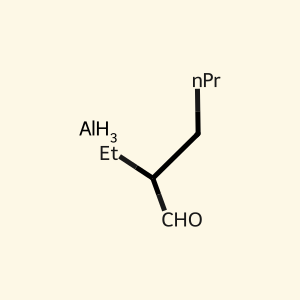 CCCCC(C=O)CC.[AlH3]